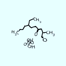 CCCCC(CC)CCC(=O)CC(C)C=O.O=S(=O)(O)O